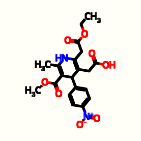 CCOC(=O)CC1=C(CC(=O)O)C(c2ccc([N+](=O)[O-])cc2)C(C(=O)OC)=C(C)N1